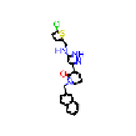 O=c1c(-c2cc(NCc3ccc(Cl)s3)[nH]n2)cccn1Cc1ccc2ccccc2c1